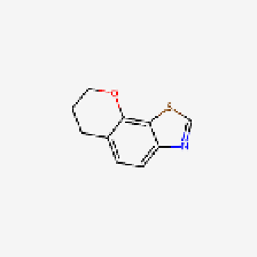 c1nc2ccc3c(c2s1)OCCC3